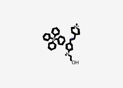 CN(CCO)c1ccc(/C=C/c2cc[n+](C)cc2)cc1.c1ccc([B-](c2ccccc2)(c2ccccc2)c2ccccc2)cc1